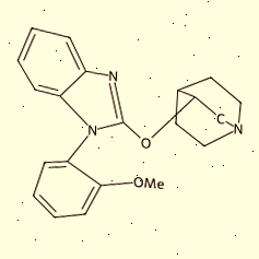 COc1ccccc1-n1c(OC2CN3CCC2CC3)nc2ccccc21